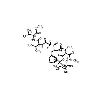 COC(=O)[C@@H](NC(=O)[C@@H](NC(=O)C(F)(F)C(=O)C(Cc1ccccc1)NC(=O)[C@H](C)N(C(=O)OC(C)(C)C)C(=O)[C@H](C)NC(=O)[C@@H](N)CO)C(C)C)C(C)C